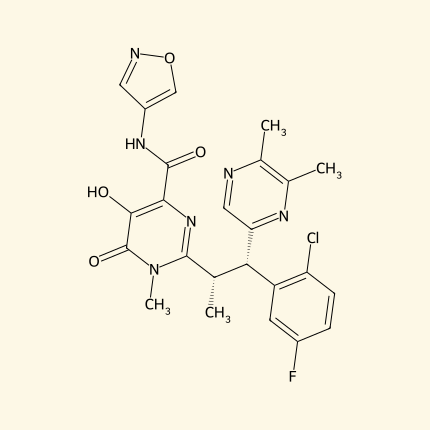 Cc1ncc([C@H](c2cc(F)ccc2Cl)[C@H](C)c2nc(C(=O)Nc3cnoc3)c(O)c(=O)n2C)nc1C